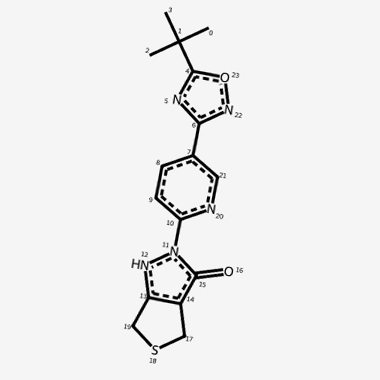 CC(C)(C)c1nc(-c2ccc(-n3[nH]c4c(c3=O)CSC4)nc2)no1